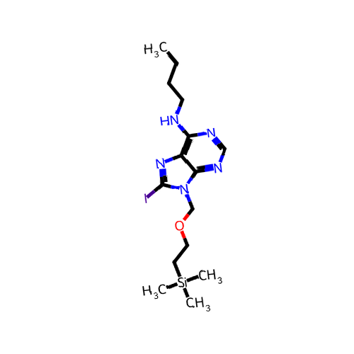 CCCCNc1ncnc2c1nc(I)n2COCC[Si](C)(C)C